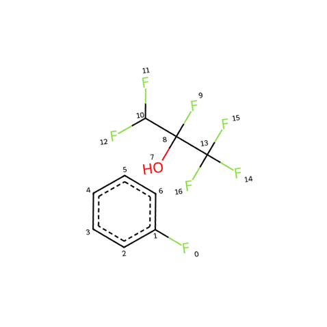 Fc1ccccc1.OC(F)(C(F)F)C(F)(F)F